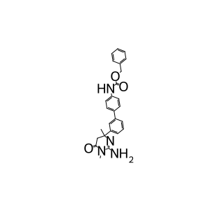 CN1C(=O)CC(C)(c2cccc(-c3ccc(NC(=O)OCc4ccccc4)cc3)c2)N=C1N